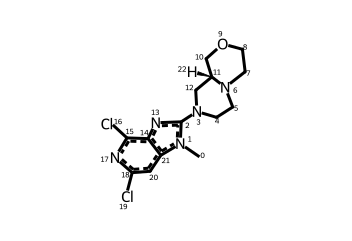 Cn1c(N2CCN3CCOC[C@H]3C2)nc2c(Cl)nc(Cl)cc21